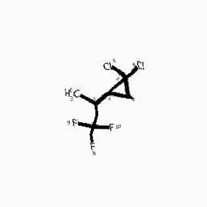 CC(C1CC1(Cl)Cl)C(F)(F)F